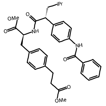 COC(=O)CCc1ccc(C[C@H](NC(=O)[C@H](CC(C)C)c2ccc(NC(=O)c3ccccc3)cc2)C(=O)OC)cc1